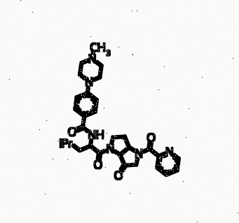 CC(C)CC(NC(=O)c1ccc(N2CCN(C)CC2)cc1)C(=O)N1CCC2C1C(=O)CN2C(=O)c1ccccn1